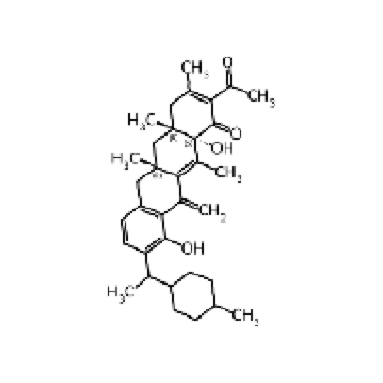 C=C1C2=C(C)[C@]3(O)C(=O)C(C(C)=O)=C(C)C[C@@]3(C)C[C@@]2(C)Cc2ccc(C(C)C3CCC(C)CC3)c(O)c21